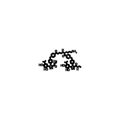 CCNC(=O)c1nnc(-c2cc(C(C)C)c(O)cc2O)n1-c1ccc(CN2CCN(C(=O)CCCN[C@@H](CCCCN)C(=O)N3CCN(Cc4ccc(-n5c(C(=O)NCC)nnc5-c5cc(C(C)C)c(O)cc5O)cc4)CC3)CC2)cc1